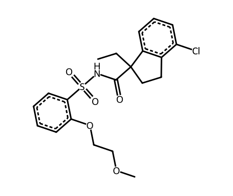 CCC1(C(=O)NS(=O)(=O)c2ccccc2OCCOC)CCc2c(Cl)cccc21